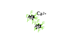 F[As-](F)(F)(F)(F)F.F[As-](F)(F)(F)(F)F.[Ca+2]